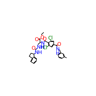 CCOC(=O)C(CNC(=O)NC1CCc2ccccc21)NC(=O)c1c(Cl)cc(C(=O)NCc2cccc(C)c2)cc1Cl